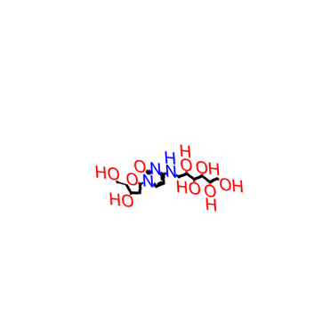 O=c1nc(NCC(O)C(O)C(O)C(O)CO)ccn1[C@H]1C[C@H](O)[C@@H](CO)O1